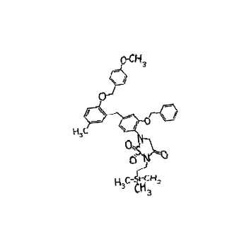 COc1ccc(COc2ccc(C)cc2Cc2ccc(N3CC(=O)N(CC[Si](C)(C)C)S3(=O)=O)c(OCc3ccccc3)c2)cc1